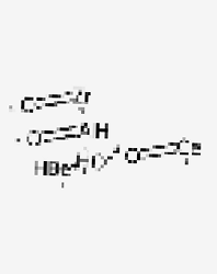 [BeH+].[OH-].[O]=[AlH].[O]=[Ce].[O]=[Zr]